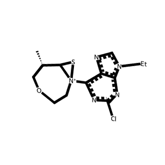 CCn1cnc2c([N+]34CCOC[C@H](C)C3S4)nc(Cl)nc21